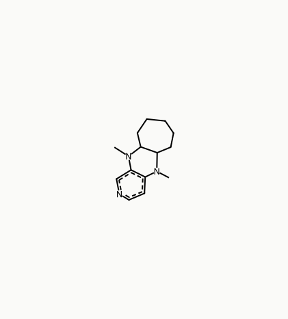 CN1c2ccncc2N(C)C2CCCCCC21